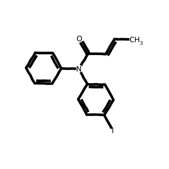 CC=CC(=O)N(c1ccccc1)c1ccc(I)cc1